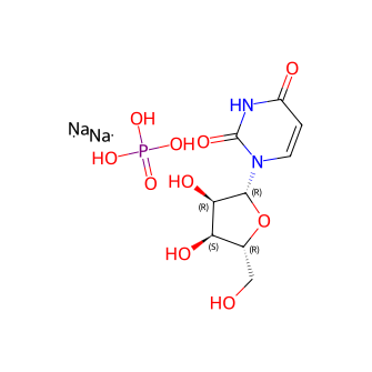 O=P(O)(O)O.O=c1ccn([C@@H]2O[C@H](CO)[C@@H](O)[C@H]2O)c(=O)[nH]1.[Na].[Na]